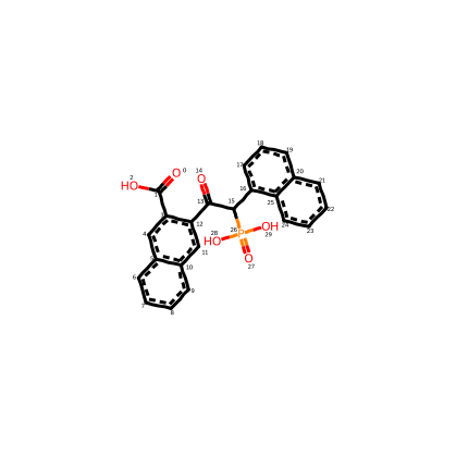 O=C(O)c1cc2ccccc2cc1C(=O)C(c1cccc2ccccc12)P(=O)(O)O